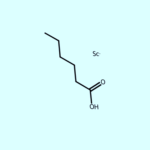 CCCCCC(=O)O.[Sc]